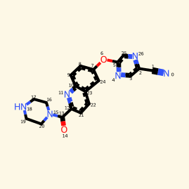 N#Cc1cnc(Oc2ccc3nc(C(=O)N4CCNCC4)ccc3c2)cn1